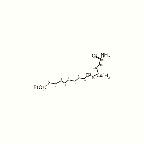 CCOC(=O)CCCCCCCCOC[C@@H](C)CCC(N)=O